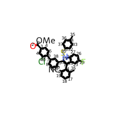 COC(=O)c1ccc(-c2cccc(-c3c(-c4c(C)cccc4C#N)c4cc(F)ccc4n3Sc3ccc(C)cc3)c2)c(Cl)c1